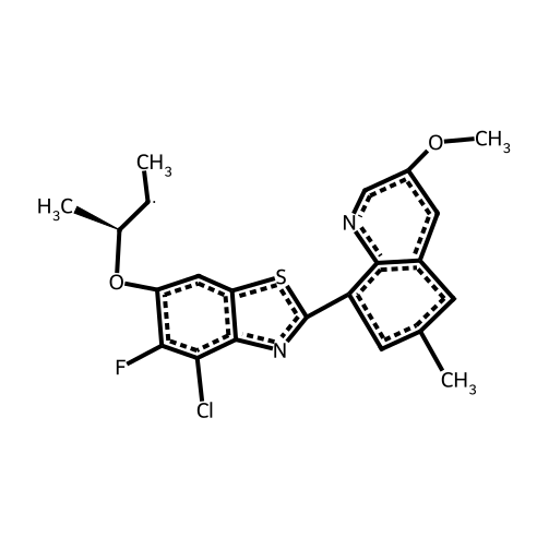 C[CH][C@H](C)Oc1cc2sc(-c3cc(C)cc4cc(OC)cnc34)nc2c(Cl)c1F